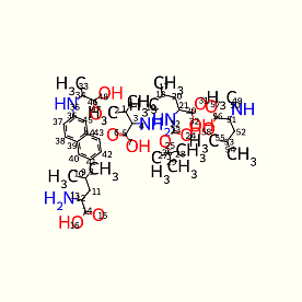 CC(C)C(N)C(=O)O.CC(C)CC(N)C(=O)O.CC(C)CC(NC(=O)OC(C)(C)C)C(=O)O.CC(Nc1ccc2ccccc2c1)C(=O)O.CNC(CC(C)C)C(=O)O